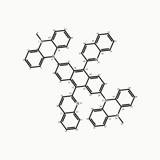 CN1c2ccccc2N(c2ccc3c(-c4ccc5ccccc5n4)c4cc(N5c6ccccc6N(C)c6ccccc65)ccc4c(-c4ccc5ccccc5n4)c3c2)c2ccccc21